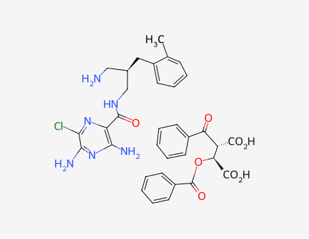 Cc1ccccc1C[C@H](CN)CNC(=O)c1nc(Cl)c(N)nc1N.O=C(O[C@H](C(=O)O)[C@@H](C(=O)O)C(=O)c1ccccc1)c1ccccc1